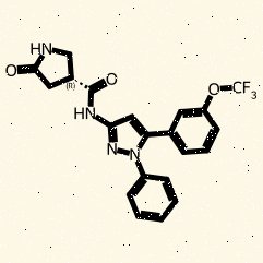 O=C1C[C@@H](C(=O)Nc2cc(-c3cccc(OC(F)(F)F)c3)n(-c3ccccc3)n2)CN1